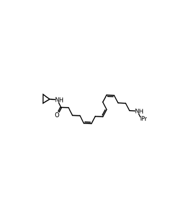 CC(C)NCCC/C=C\C/C=C\C/C=C\CCCC(=O)NC1CC1